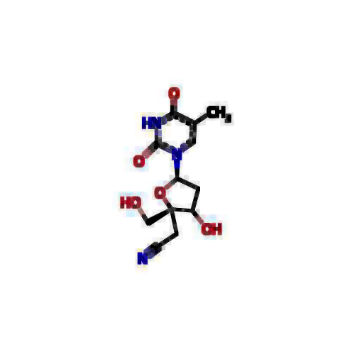 Cc1cn([C@H]2CC(O)[C@](CO)(CC#N)O2)c(=O)[nH]c1=O